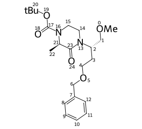 COC[C@H](CCOCc1ccccc1)N1CCN(C(=O)OC(C)(C)C)[C@H](C)C1=O